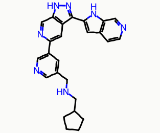 c1cc2cc(-c3n[nH]c4cnc(-c5cncc(CNCC6CCCC6)c5)cc34)[nH]c2cn1